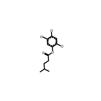 CC(C)CCC(=O)Oc1cc(Cl)c(Cl)cc1Cl